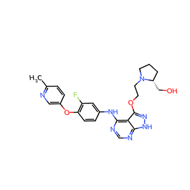 Cc1ccc(Oc2ccc(Nc3ncnc4[nH]nc(OCCN5CCC[C@@H]5CO)c34)cc2F)cn1